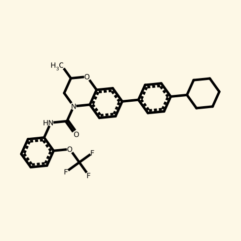 CC1CN(C(=O)Nc2ccccc2OC(F)(F)F)c2ccc(-c3ccc(C4CCCCC4)cc3)cc2O1